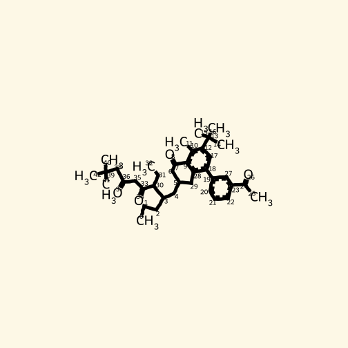 CCCC(CC1CC(=O)c2c(C)c(C(C)(C)C)cc(-c3cccc(C(C)=O)c3)c2C1)C(CC)C(=O)CC(=O)CC(C)(C)C